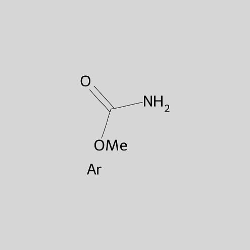 COC(N)=O.[Ar]